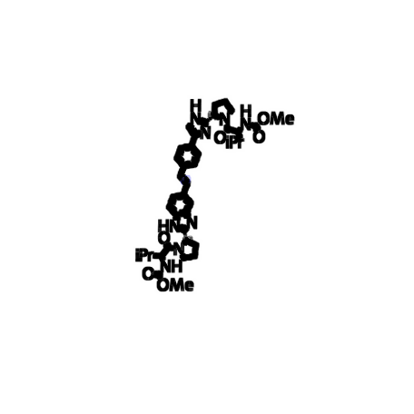 COC(=O)NC(C(=O)N1CCC[C@H]1c1nc(-c2ccc(/C=C/c3ccc4[nH]c([C@@H]5CCCN5C(=O)C(NC(=O)OC)C(C)C)nc4c3)cc2)c[nH]1)C(C)C